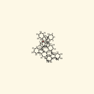 c1ccc(-n2c3ccccc3c3c(-c4cccc5c6ccccc6n(-c6ccc7oc8ccccc8c7c6)c45)c(-n4c5ccncc5c5ncccc54)ccc32)cc1